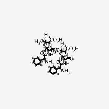 CC1(C)S[C@@H]2[C@H](NC(=O)[C@H](N)c3ccccc3)C(=O)N2[C@H]1C(=O)O.CC1(C)S[C@@H]2[C@H](NC(=O)[C@H](N)c3ccccc3)C(=O)N2[C@H]1C(=O)O